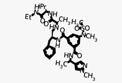 CCNC(=O)[C@@H](NC(=O)[C@H](C)NC[C@H](Cc1ccccc1)NC(=O)c1cc(C(=O)NC(C)c2cnn(C)c2)cc(N(C)S(C)(=O)=O)c1)C(C)C